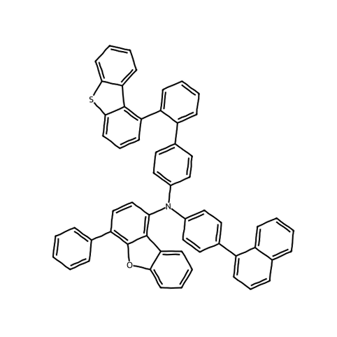 c1ccc(-c2ccc(N(c3ccc(-c4ccccc4-c4cccc5sc6ccccc6c45)cc3)c3ccc(-c4cccc5ccccc45)cc3)c3c2oc2ccccc23)cc1